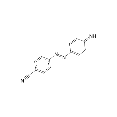 N#Cc1ccc(N=NC2=CCC(=N)C=C2)cc1